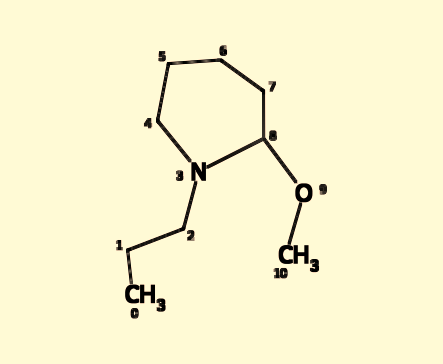 CCCN1CCCCC1OC